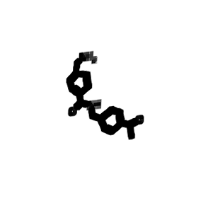 CC(=O)c1ccc(CNC(=O)c2ccc(CN)cc2)cc1